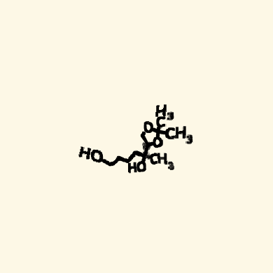 CC1(C)OC[C@H]([C@@](C)(O)CCCCO)O1